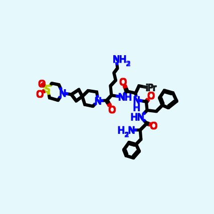 CC(C)CC(NC(=O)C(Cc1ccccc1)NC(=O)C(N)Cc1ccccc1)C(=O)NC(CCCCN)C(=O)N1CCC2(CC1)CC(N1CCS(=O)(=O)CC1)C2